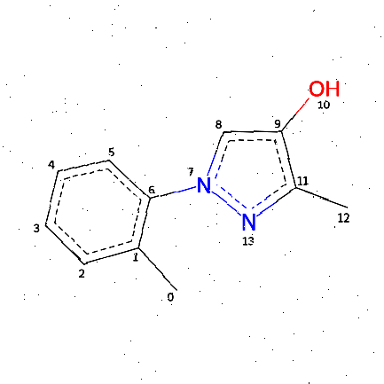 Cc1ccccc1-n1cc(O)c(C)n1